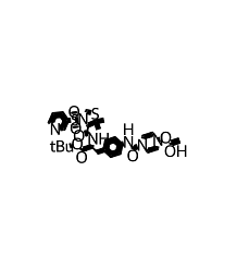 C=C(O)ON1CCN(C(=O)Nc2ccc(C[C@H](NC(=O)[C@H]3N(S(=O)(=O)c4cccnc4)CSC3(C)C)C(=O)OC(C)(C)C)cc2)CC1